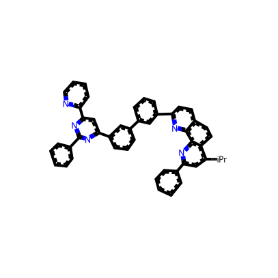 CC(C)c1cc(-c2ccccc2)nc2c1ccc1ccc(-c3cccc(-c4cccc(-c5cc(-c6ccccn6)nc(-c6ccccc6)n5)c4)c3)nc12